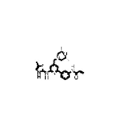 C=CC(=O)Nc1cccc(-c2cc(CN3C[C@@H](C)O[C@@H](C)C3)cc(NC3NC=C(C)S3)n2)c1